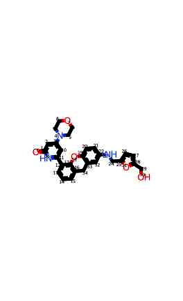 O=c1cc(N2CCOCC2)cc(-c2cccc3c2Oc2ccc(NCc4ccc(CO)o4)cc2C3)[nH]1